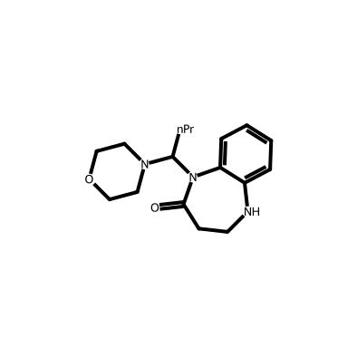 CCCC(N1CCOCC1)N1C(=O)CCNc2ccccc21